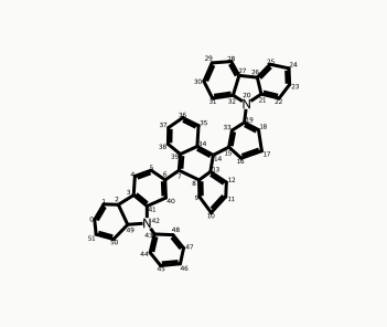 C1=CC2c3ccc(-c4c5ccccc5c(-c5cccc(-n6c7ccccc7c7ccccc76)c5)c5ccccc45)cc3N(c3ccccc3)C2C=C1